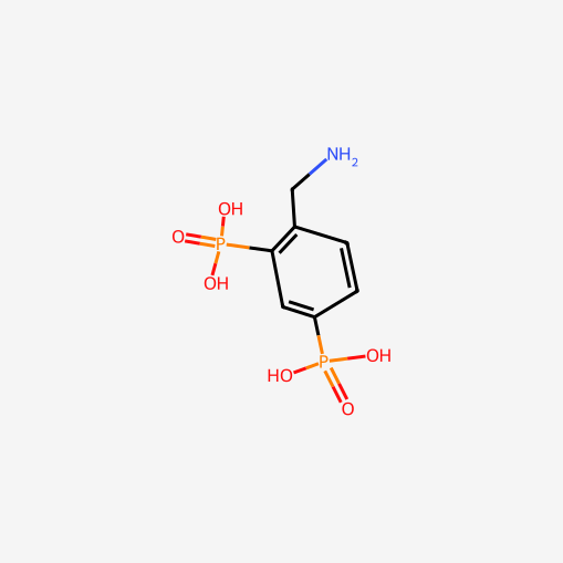 NCc1ccc(P(=O)(O)O)cc1P(=O)(O)O